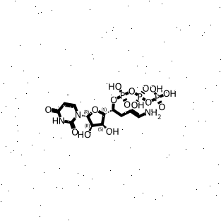 NC=CCC(OP(=O)(O)OP(=O)(O)OP(=O)(O)O)[C@H]1O[C@@H](n2ccc(=O)[nH]c2=O)[C@H](O)[C@@H]1O